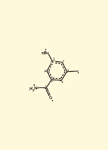 CCCC[n+]1cc(C)cc(C(N)=O)c1